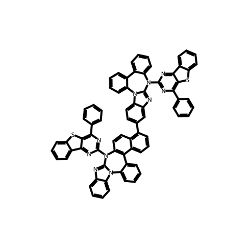 c1ccc(-c2nc(N3c4ccccc4-c4ccccc4-n4c3nc3cc(-c5cccc6c7c(ccc56)N(c5nc(-c6ccccc6)c6sc8ccccc8c6n5)c5nc6ccccc6n5-c5ccccc5-7)ccc34)nc3c2sc2ccccc23)cc1